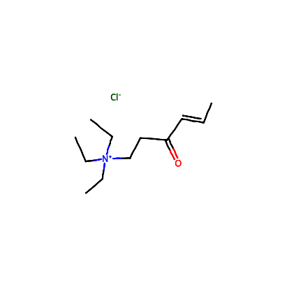 CC=CC(=O)CC[N+](CC)(CC)CC.[Cl-]